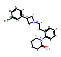 O=C1CCCCN1c1ccccc1CCN1CC(c2cccc(F)c2)C1